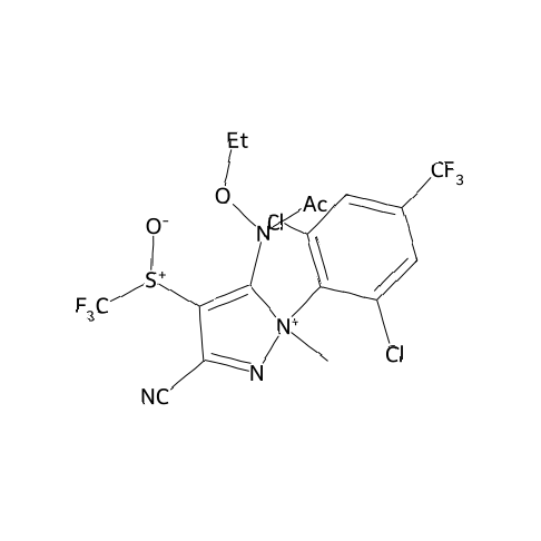 CCON(C(C)=O)C1=C([S+]([O-])C(F)(F)F)C(C#N)=N[N+]1(C)c1c(Cl)cc(C(F)(F)F)cc1Cl